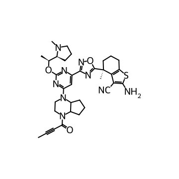 CC#CC(=O)N1CCN(c2cc(-c3noc([C@@]4(C)CCCc5sc(N)c(C#N)c54)n3)nc(O[C@@H](C)[C@@H]3CCCN3C)n2)C2CCCC21